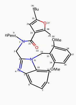 CCCCCN(Cc1nc2ccccc2n1Cc1c(OC)cccc1OC)C(=O)c1cc(C(C)(C)C)oc1C